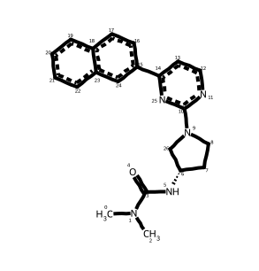 CN(C)C(=O)N[C@H]1CCN(c2nccc(-c3ccc4ccccc4c3)n2)C1